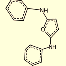 c1ccc(Nc2ccc(Nc3ccccc3)o2)cc1